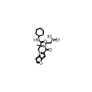 CCN(CC)CCN1C(=O)c2cc3occc3n2CC1(C)C(=O)NC1CCCCC1